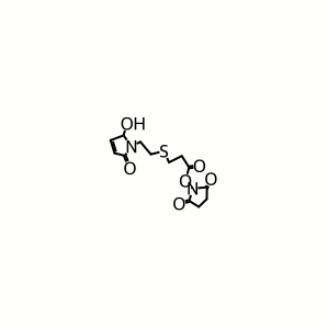 O=C(CCSCCN1C(=O)C=CC1O)ON1C(=O)CCC1=O